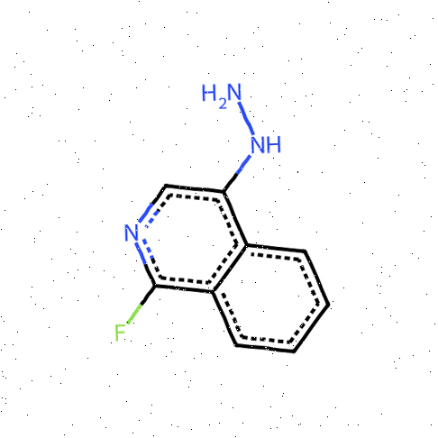 NNc1cnc(F)c2ccccc12